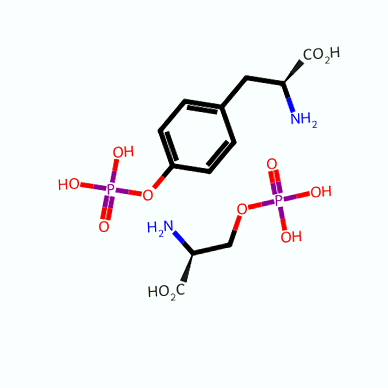 N[C@@H](COP(=O)(O)O)C(=O)O.N[C@@H](Cc1ccc(OP(=O)(O)O)cc1)C(=O)O